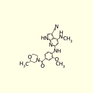 CNc1cc(Nc2ccc(C(=O)N3CCOC(C)C3)cc2OC)nc2[nH]cc(C#N)c12